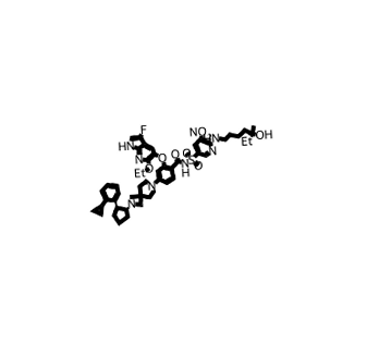 CCOc1nc2[nH]cc(F)c2cc1Oc1cc(N2CCC3(CC2)CN([C@H]2CCC[C@H]2c2ccccc2C2CC2)C3)ccc1C(=O)NS(=O)(=O)c1cnc(NCCCC[C@](C)(O)CC)c([N+](=O)[O-])c1